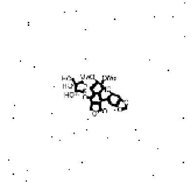 COc1cc2c(O[C@H]3OC[C@](O)(CO)[C@H]3O)c3c(c(C4=CC5=C(CC4O)OCO5)c2cc1OC)C(=O)OC3